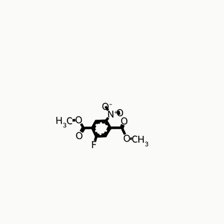 COC(=O)c1cc([N+](=O)[O-])c(C(=O)OC)cc1F